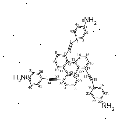 Nc1ccc(C#Cc2cccc3c2c2cccc(C#Cc4ccc(N)cc4)c2c2cccc(C#Cc4ccc(N)cc4)c32)cc1